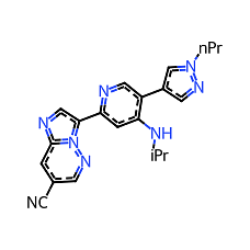 CCCn1cc(-c2cnc(-c3cnc4cc(C#N)cnn34)cc2NC(C)C)cn1